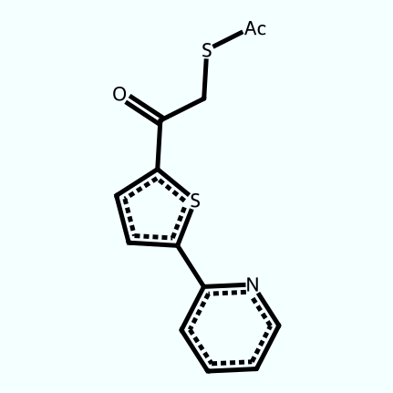 CC(=O)SCC(=O)c1ccc(-c2ccccn2)s1